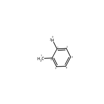 [2H]c1ccccc1C